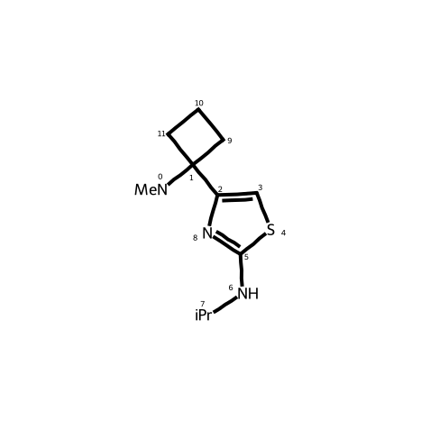 CNC1(c2csc(NC(C)C)n2)CCC1